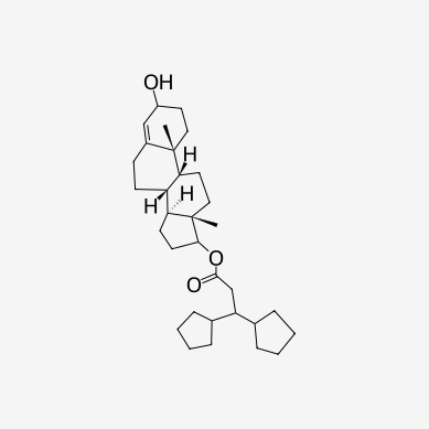 C[C@]12CCC(O)C=C1CC[C@@H]1[C@H]2CC[C@]2(C)C(OC(=O)CC(C3CCCC3)C3CCCC3)CC[C@@H]12